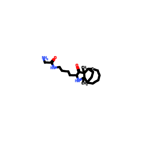 CC12NC(CCCCNC(=O)CN)C(=O)C1(C)C1CCCCCC2CC1